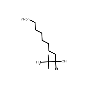 CCCCCCCCCCCCCCCCC(O)(CC)C(C)(C)N